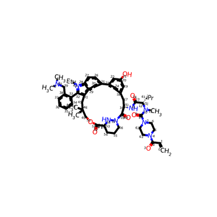 C=CC(=O)N1CCN(C(=O)N(C)[C@H](C(=O)N[C@H]2Cc3cc(O)cc(c3)-c3ccc4c(c3)c(c(-c3ccccc3CN(C)C)n4CC)CC(C)(C)COC(=O)[C@@H]3CCCN(N3)C2=O)C(C)C)CC1